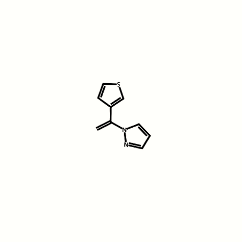 C=C(c1ccsc1)n1cccn1